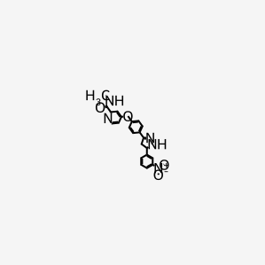 CNC(=O)c1cc(Oc2ccc(C3=NNC(c4cccc([N+](=O)[O-])c4)C3)cc2)ccn1